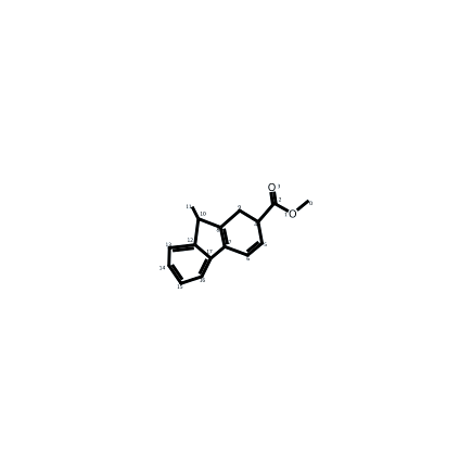 COC(=O)C1C=CC2=C(C1)C(C)c1ccccc12